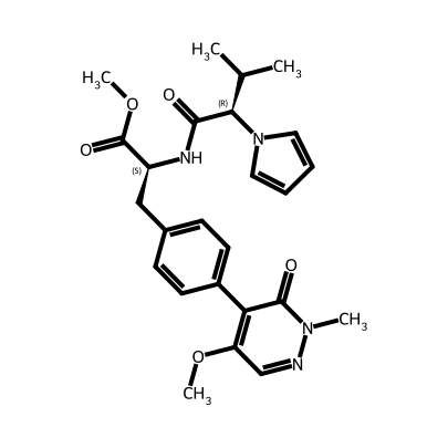 COC(=O)[C@H](Cc1ccc(-c2c(OC)cnn(C)c2=O)cc1)NC(=O)[C@@H](C(C)C)n1cccc1